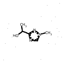 CC(O)c1ncn(C)n1